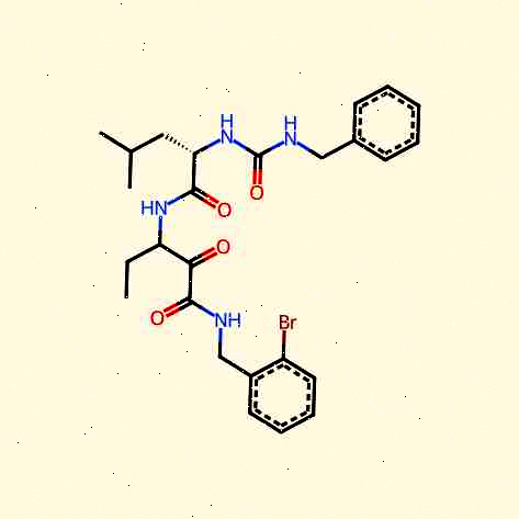 CCC(NC(=O)[C@H](CC(C)C)NC(=O)NCc1ccccc1)C(=O)C(=O)NCc1ccccc1Br